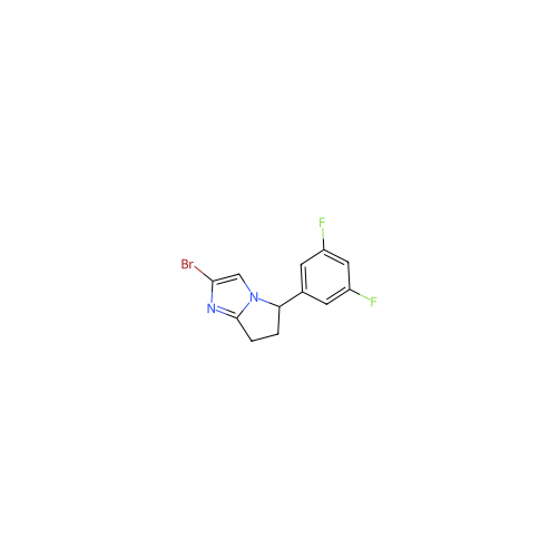 Fc1cc(F)cc(C2CCc3nc(Br)cn32)c1